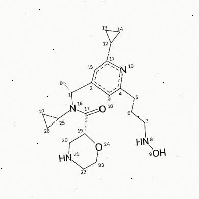 C[C@H](c1cc(CCCNO)nc(C2CC2)c1)N(C(=O)[C@H]1CNCCO1)C1CC1